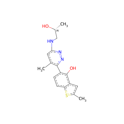 Cc1cc2c(O)c(-c3nnc(NC[C@@H](C)O)cc3C)ccc2s1